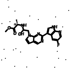 COC(=O)[C@H](C)NC(O)Cn1ccc2cnc(-c3c[nH]c4ncc(F)cc34)nc21